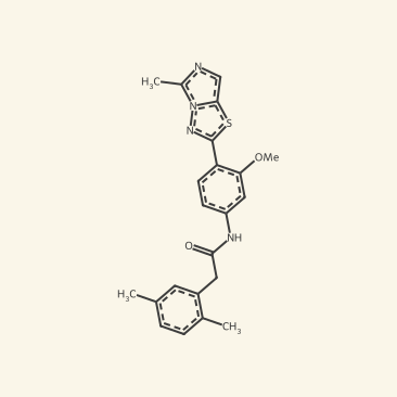 COc1cc(NC(=O)Cc2cc(C)ccc2C)ccc1-c1nn2c(C)ncc2s1